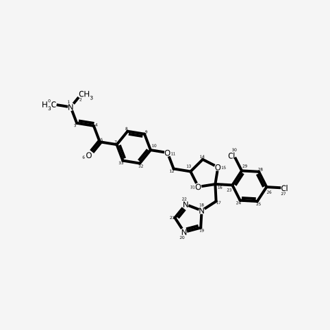 CN(C)C=CC(=O)c1ccc(OCC2COC(Cn3cncn3)(c3ccc(Cl)cc3Cl)O2)cc1